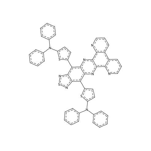 c1ccc(N(c2ccccc2)c2ccc(-c3c4nsnc4c(-c4ccc(N(c5ccccc5)c5ccccc5)s4)c4nc5c6ncccc6c6cccnc6c5nc34)s2)cc1